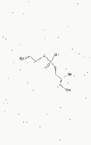 C=CCOP(=O)(O)OC[C@H](O)CO